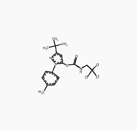 Cc1ccc(-n2nc(C(C)(C)C)cc2OC(=O)NCC(Cl)(Cl)Cl)cc1